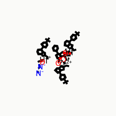 CCC1=Cc2c(-c3ccc(C(C)(C)C)cc3)cccc2[CH]1[Hf+]1[O][CH]1C.CCCC1=Cc2c(-c3ccccc3)cccc2[CH]1[Ti]([CH3])([CH3])([O][CH](C)[Zr+2]1([C]2=C(CC)Cc3c2cccc3-c2ccc(C(C)(C)C)cc2)[O][CH]1C)[CH](C)[O][Hf]([CH3])([CH3])[CH]1C(CC)=Cc2c(-c3ccc(C(C)(C)C)cc3)cccc21.C[N-]C.C[N-]C